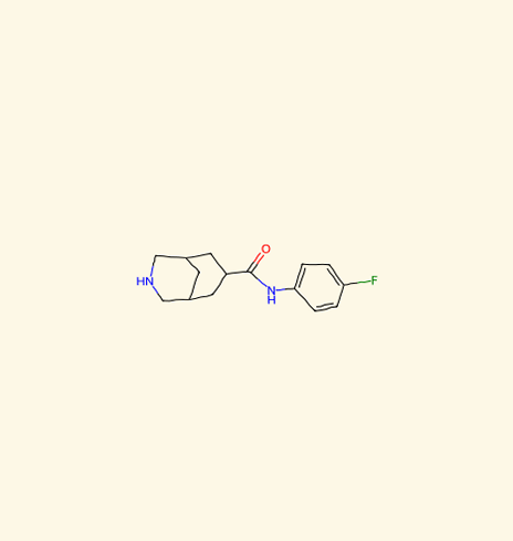 O=C(Nc1ccc(F)cc1)C1CC2CNCC(C2)C1